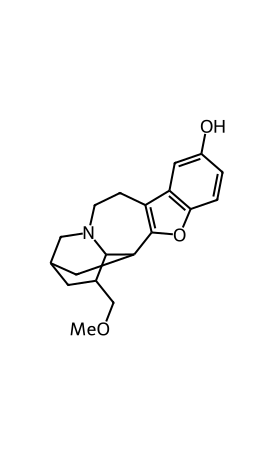 COCC1CC2CC3c4oc5ccc(O)cc5c4CCN(C2)C13